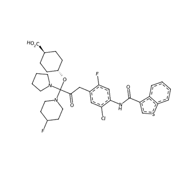 O=C(Nc1cc(F)c(CC(=O)C(O[C@H]2CC[C@H](C(=O)O)CC2)(N2CCCC2)N2CCC(F)CC2)cc1Cl)c1csc2ccccc12